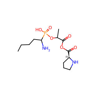 CCCCC(N)P(=O)(O)OC(C)C(=O)OC(=O)[C@@H]1CCCN1